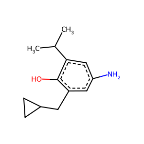 CC(C)c1cc(N)cc(CC2CC2)c1O